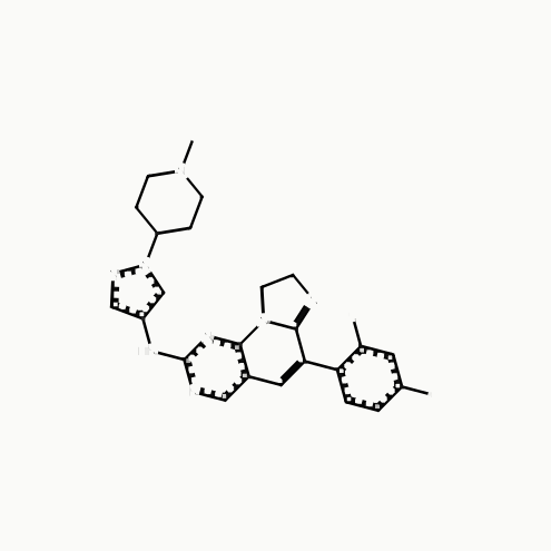 CN1CCC(n2cc(Nc3ncc4c(n3)N3CCN=C3C(c3ccc(Cl)cc3Cl)=C4)cn2)CC1